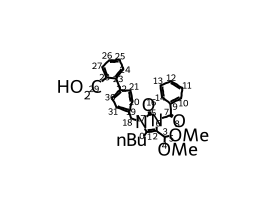 CCCCc1c(C(OC)OC)n(C(=O)c2ccccc2)c(=O)n1Cc1ccc(-c2ccccc2C(=O)O)cc1